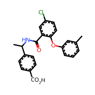 Cc1cccc(Oc2ccc(Cl)cc2C(=O)NC(C)c2ccc(C(=O)O)cc2)c1